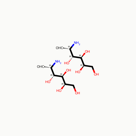 N[C@@H](C=O)[C@@H](O)[C@@H](O)[C@H](O)CO.N[C@@H](C=O)[C@@H](O)[C@@H](O)[C@H](O)CO